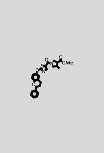 COC(=O)C1CN(C(=O)c2cnc(Oc3ccc4c(c3)CCC(c3ccccc3)O4)s2)CC1C